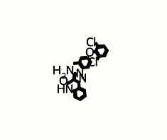 Cc1cc(Oc2c(Cl)cccc2Cl)ccc1-n1nc2c(c1N)c(=O)[nH]c1ccccc12